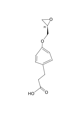 O=C(O)CCc1ccc(OC[C@H]2CO2)cc1